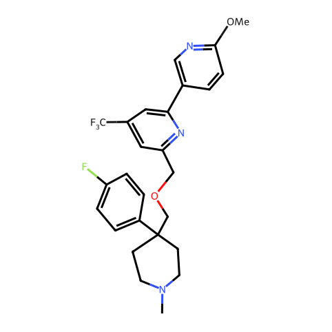 COc1ccc(-c2cc(C(F)(F)F)cc(COCC3(c4ccc(F)cc4)CCN(C)CC3)n2)cn1